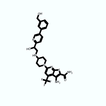 NC(=O)c1sc2nc(N3CCC(NCC(O)c4ccc(-c5cccc(CO)c5)cn4)CC3)cc(C(F)(F)F)c2c1N